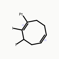 I/C1=[C](\[Pt])CC/C=C\CC1I